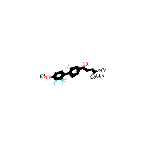 CCCC(CCC(=O)c1ccc(-c2ccc(OCC)c(F)c2F)c(F)c1)OC